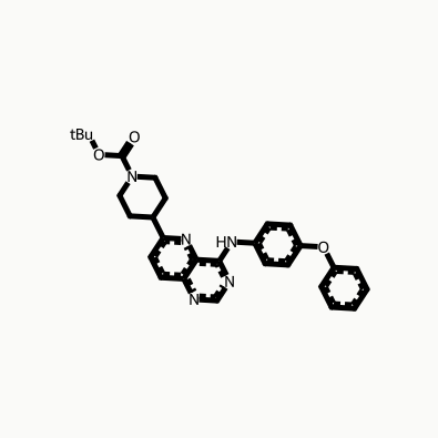 CC(C)(C)OC(=O)N1CCC(c2ccc3ncnc(Nc4ccc(Oc5ccccc5)cc4)c3n2)CC1